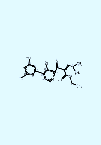 CCOC(=O)C(=CN(C)C)C(=O)c1ncnc(-c2cc(Cl)cc(Cl)c2)c1Cl